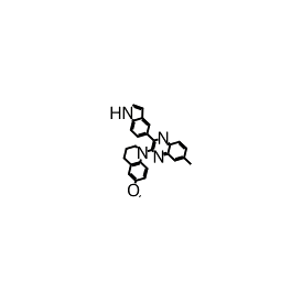 COc1ccc2c(c1)CCCN2c1nc2cc(C)ccc2nc1-c1ccc2[nH]ccc2c1